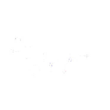 O=C(Cn1ccc2scc(-c3ccc(C(F)(F)F)c(Cl)c3)c2c1=O)N1CCC(F)C1